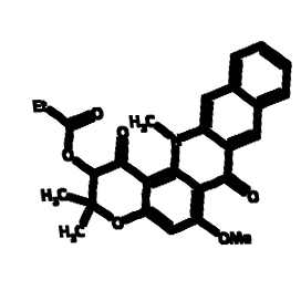 CCC(=O)OC1C(=O)c2c(cc(OC)c3c(=O)c4cc5ccccc5cc4n(C)c23)OC1(C)C